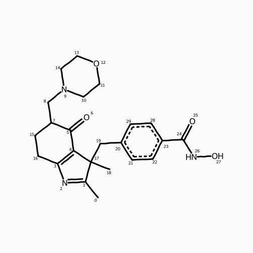 CC1=NC2=C(C(=O)C(CN3CCOCC3)CC2)C1(C)Cc1ccc(C(=O)NO)cc1